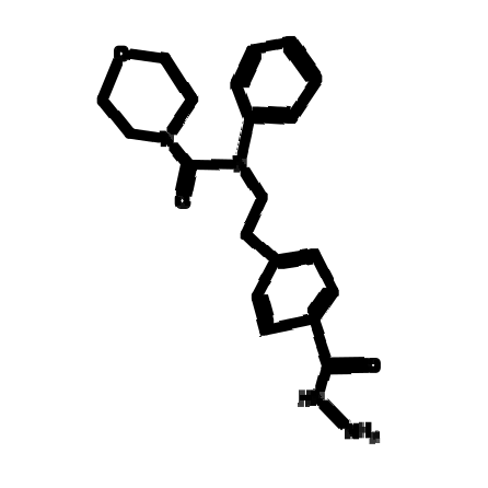 NNC(=O)c1ccc(CCN(C(=O)N2CCOCC2)c2ccccc2)cc1